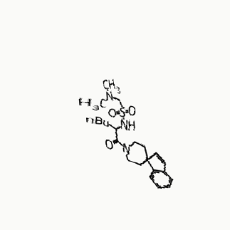 CCCCC(NS(=O)(=O)CN(C)C)C(=O)N1CCC2(C=Cc3ccccc32)CC1